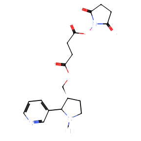 CN1CC[C@H](COC(=O)CCC(=O)ON2C(=O)CCC2=O)C1c1cccnc1